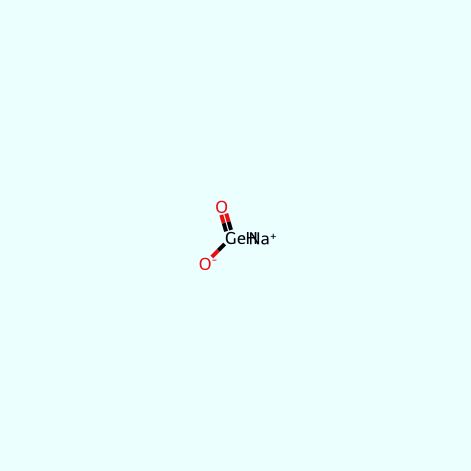 [Na+].[O]=[GeH][O-]